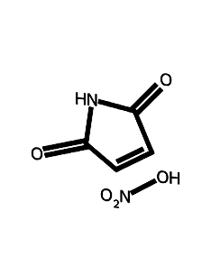 O=C1C=CC(=O)N1.O=[N+]([O-])O